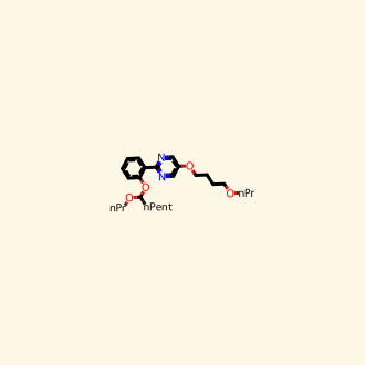 CCCCCC(OCCC)Oc1ccccc1-c1ncc(OCCCCOCCC)cn1